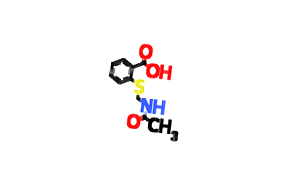 CC(=O)NCSc1ccccc1C(=O)O